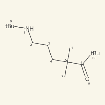 CC(C)(C)NCCCC(C)(C)C(=O)C(C)(C)C